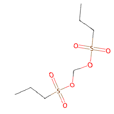 CCCS(=O)(=O)OCOS(=O)(=O)CCC